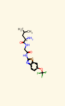 CC(C)C[C@@H](N)C(=O)NCC(=O)Nc1nc2ccc(OC(F)(F)F)cc2s1